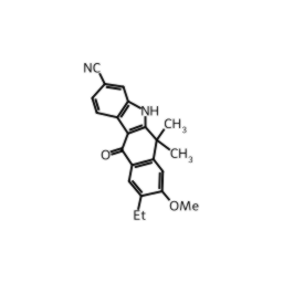 CCc1cc2c(cc1OC)C(C)(C)c1[nH]c3cc(C#N)ccc3c1C2=O